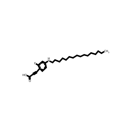 CCCCCCCCCCCCCCCCNc1ccc(C#CC(=O)O)c(F)c1